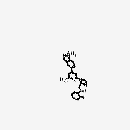 Cc1cc(-c2ccc3c(cnn3C)c2)cc(-n2ccnc2CNc2ccccc2F)n1